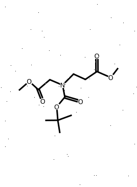 COC(=O)CCN(CC(=O)OC)C(=O)OC(C)(C)C